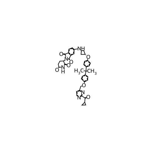 CC(C)(c1ccc(OCc2ccnc(C(=O)C3CC3)n2)cc1)c1ccc(O[C@H]2C[C@H](Nc3ccc4c(c3)C(=O)N(C3CCC(=O)NC3=O)C4=O)C2)cc1